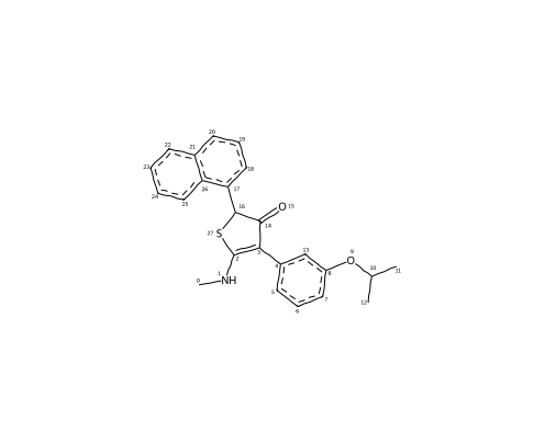 CNC1=C(c2cccc(OC(C)C)c2)C(=O)C(c2cccc3ccccc23)S1